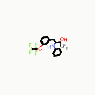 OC(C(Cc1cccc(OC(F)(F)C(F)F)c1)Nc1c[c]ccc1)C(F)(F)F